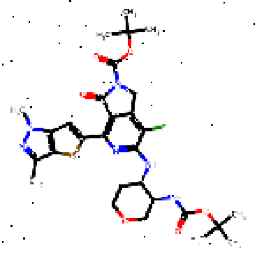 Cc1nn(C)c2cc(-c3nc(N[C@@H]4CCOC[C@@H]4NC(=O)OC(C)(C)C)c(F)c4c3C(=O)N(C(=O)OC(C)(C)C)C4)sc12